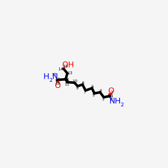 NC(=O)CCCCCCCC/C=C(\CCO)C(N)=O